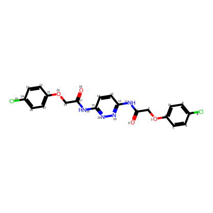 O=C(COc1ccc(Cl)cc1)Nc1ccc(NC(=O)COc2ccc(Cl)cc2)nn1